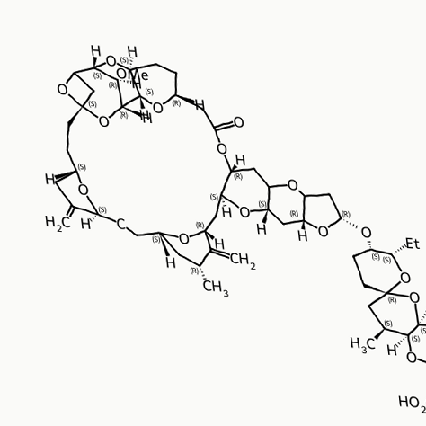 C=C1C[C@@H]2CC[C@]34CC(O3)[C@@H]3O[C@H]5CC[C@H](CC(=O)O[C@@H]6CC7OC8C[C@H](O[C@H]9CC[C@@]%10(C[C@H](C)[C@@H]%11O[C@H](CC(=O)O)CC[C@@H]%11O%10)O[C@H]9CC)O[C@@H]8C[C@@H]7O[C@H]6C[C@H]6O[C@@H](CC[C@@H]1O2)C[C@@H](C)C6=C)O[C@@H]5[C@H](O4)[C@@H]3OC